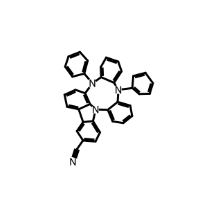 N#Cc1ccc2c(c1)c1cccc3c1n2-c1ccccc1N(c1ccccc1)c1ccccc1N3c1ccccc1